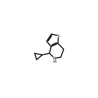 c1cc2c(s1)CCNC2C1CC1